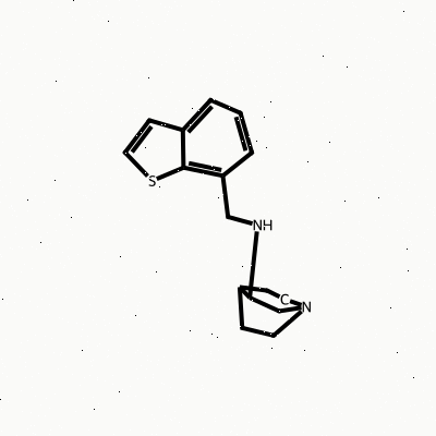 c1cc(CNC2CN3CCC2CC3)c2sccc2c1